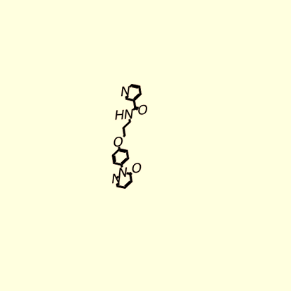 O=C(NCCCOc1ccc(-n2ncccc2=O)cc1)c1cccnc1